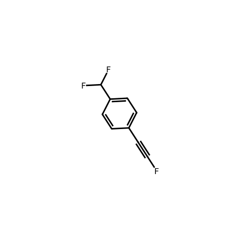 FC#Cc1ccc(C(F)F)cc1